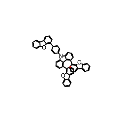 c1ccc2c(c1)oc1c(-c3ccc(-n4c5cccc(-c6cccc7c6oc6ccccc67)c5c5c(-c6cccc7c6oc6ccccc67)cccc54)cc3)cccc12